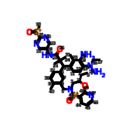 CC[C@@H]1CN(Cc2cc(C(c3ccc(N(N)CC)c(N)c3C)C(C)(C)C(=O)Nc3cnc([S+](C)[O-])nc3)ccc2C)[S+]([O-])c2cccnc2O1